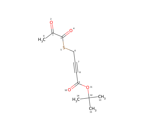 CC(=O)C(=O)SCC#CC(=O)OC(C)(C)C